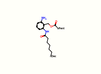 CCCCCCCCCCCCCCCC(=O)Nc1cccc(N)c1COC(=O)CCCCC